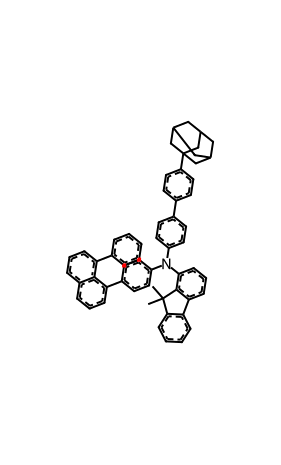 CC1(C)c2ccccc2-c2cccc(N(c3ccc(-c4ccc(C56CC7CC(CC(C7)C5)C6)cc4)cc3)c3ccc(-c4cccc5cccc(-c6ccccc6)c45)cc3)c21